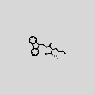 CCCCC(C(=O)OCC1c2ccccc2-c2ccccc21)C(N)O